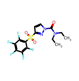 CCN(CC)C(=O)n1ccc(S(=O)(=O)c2c(F)c(F)c(F)c(F)c2F)n1